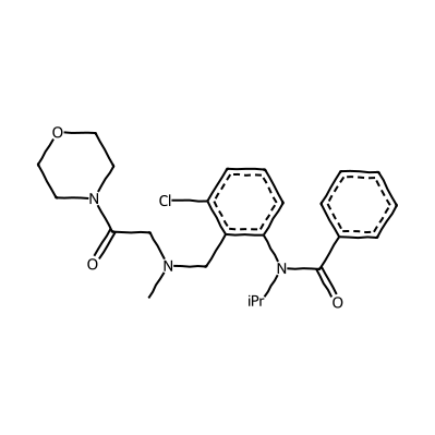 CC(C)N(C(=O)c1ccccc1)c1cccc(Cl)c1CN(C)CC(=O)N1CCOCC1